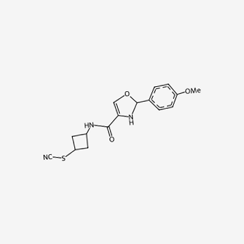 COc1ccc(C2NC(C(=O)NC3CC(SC#N)C3)=CO2)cc1